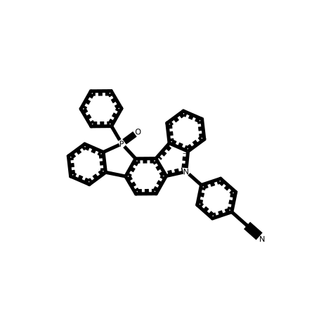 N#Cc1ccc(-n2c3ccccc3c3c4c(ccc32)-c2ccccc2P4(=O)c2ccccc2)cc1